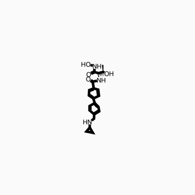 C[C@@H](O)[C@H](NC(=O)c1ccc(-c2ccc(CNC3CC3)cc2)cc1)C(=O)NO